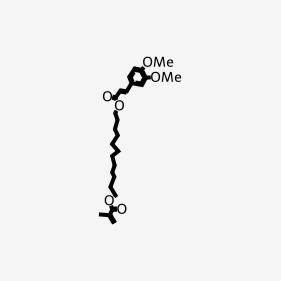 C=C(C)C(=O)OCCCCCCCCCCCCOC(=O)C=Cc1ccc(OC)c(OC)c1